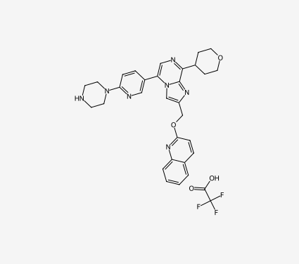 O=C(O)C(F)(F)F.c1ccc2nc(OCc3cn4c(-c5ccc(N6CCNCC6)nc5)cnc(C5CCOCC5)c4n3)ccc2c1